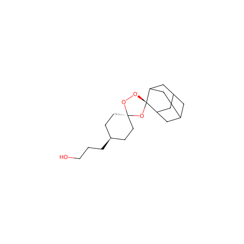 OCCC[C@H]1CC[C@]2(CC1)OO[C@]1(O2)C2CC3CC(C2)CC1C3